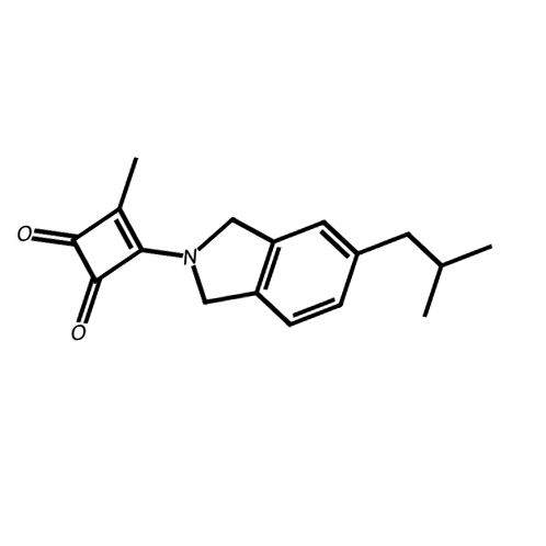 Cc1c(N2Cc3ccc(CC(C)C)cc3C2)c(=O)c1=O